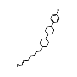 FC=CCCCCC[C@H]1CC[C@H]([C@H]2CC[C@H](c3ccc(F)cc3)CC2)CC1